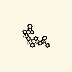 c1ccc(-n2c3ccccc3c3c4c5cccc6c5n(c4ccc32)-c2cccc3c2B6c2cc4c(cc2O3)Oc2cccc3c2B4c2cccc4c5ccccc5n-3c24)cc1